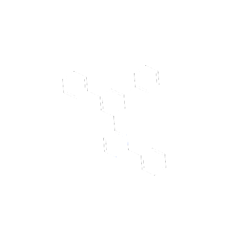 c1ccc(-c2cc(-c3ccccc3)cc(-c3ccnc(-c4ccccc4)n3)c2)cc1